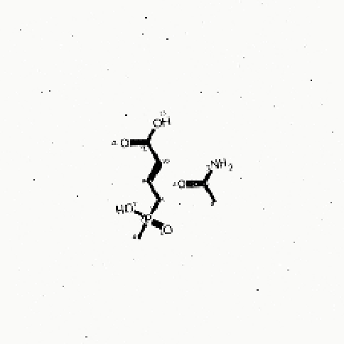 CC(N)=O.CP(=O)(O)CC=CC(=O)O